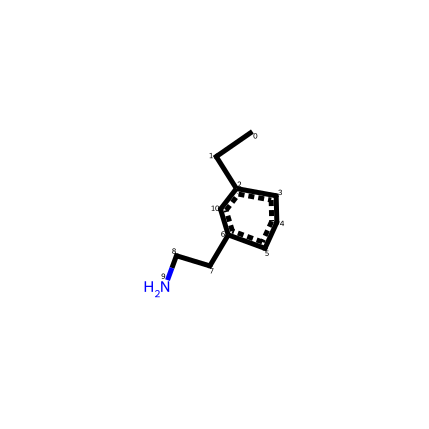 CCc1cccc(CCN)c1